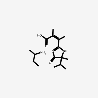 C/C(C(=O)O)=C(\C)C1=NC(=O)C(C)(C(C)C)N1.CCC(C)N